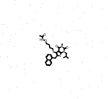 CC(=O)NOCCCCSc1c(Cc2cccc3ccccc23)sc2c1c(=O)n(C)c(=O)n2CC(C)C